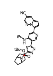 CC(C)Nc1cc(-c2ccc3cc(C#N)cnn23)ncc1-c1nnc(N2CC3CCC(C2)N3C(=O)OC(C)(C)C)s1